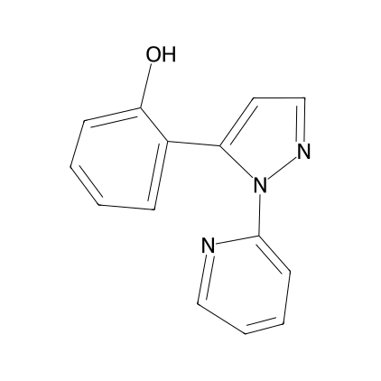 Oc1ccccc1-c1ccnn1-c1ccccn1